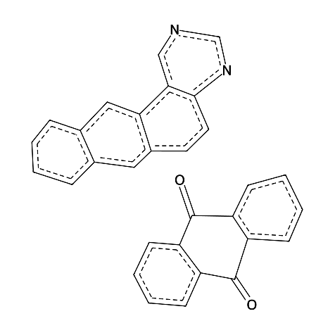 O=C1c2ccccc2C(=O)c2ccccc21.c1ccc2cc3c(ccc4ncncc43)cc2c1